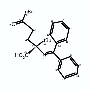 CCCCC(=O)CC[C@](N=C(c1ccccc1)c1ccccc1)(C(=O)O)C(C)(C)C